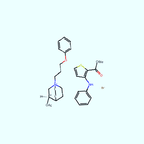 CC(=O)O[C@H]1C[N+]2(CCCOc3ccccc3)CCC1CC2.COC(=O)c1sccc1Nc1ccccc1.[Br-]